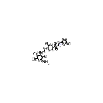 Nc1nc(Cl)c(Cl)c(NCCN2CCN(S(=O)(=O)/C=C/c3ccc(Cl)s3)CC2=O)c1Cl